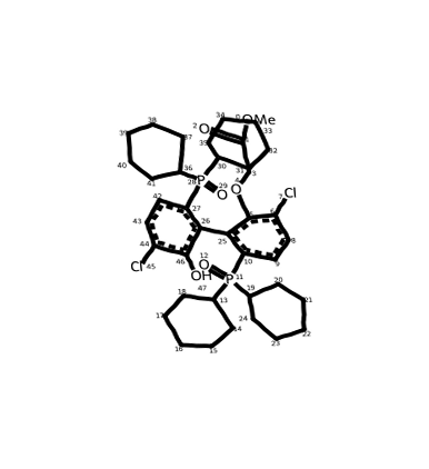 COC(=O)COc1c(Cl)ccc(P(=O)(C2CCCCC2)C2CCCCC2)c1-c1c(P(=O)(C2CCCCC2)C2CCCCC2)ccc(Cl)c1O